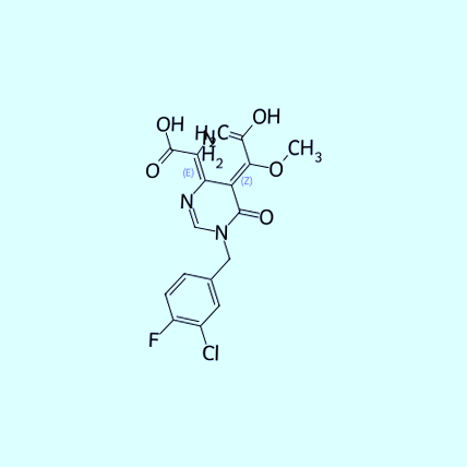 C=C(O)/C(OC)=c1/c(=O)n(Cc2ccc(F)c(Cl)c2)cn/c1=C(/N)C(=O)O